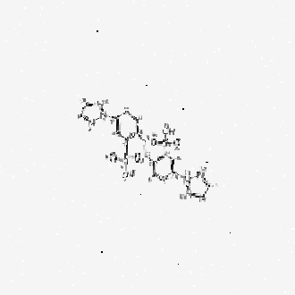 O=S(=O)(O)c1cc(-n2nccn2)ccc1/C=C/c1ccc(-n2nccn2)cc1S(=O)(=O)O